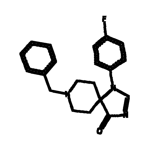 O=C1N=CN(c2ccc(F)cc2)C12CCN(Cc1ccccc1)CC2